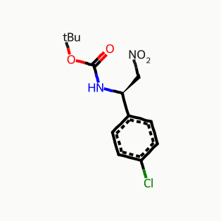 CC(C)(C)OC(=O)N[C@@H](C[N+](=O)[O-])c1ccc(Cl)cc1